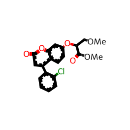 COCC(Oc1ccc2c(-c3ccccc3Cl)cc(=O)oc2c1)C(=O)OC